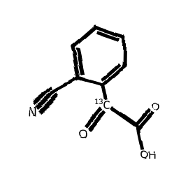 N#Cc1ccccc1[13C](=O)C(=O)O